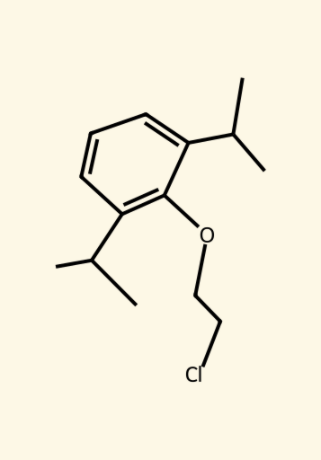 CC(C)c1cccc(C(C)C)c1OCCCl